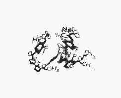 CCCCOC(CC)c1cccc(-c2csc(C(=O)c3cc(F)c(C=C(C)C(=O)[O-])c(F)c3)n2)c1F.CCCCOC(CC)c1cccc(-c2csc(C(=O)c3cc(F)c(C=C(C)C(=O)[O-])c(F)c3)n2)c1F.[Na+].[Na+]